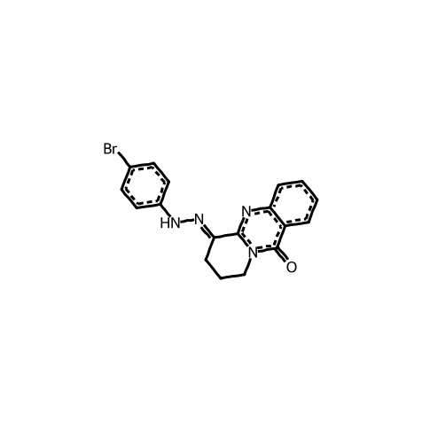 O=c1c2ccccc2nc2n1CCCC2=NNc1ccc(Br)cc1